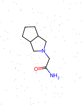 NC(=O)CN1CC2CCCC2C1